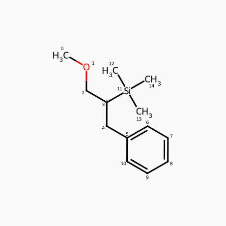 COC[C](Cc1ccccc1)[Si](C)(C)C